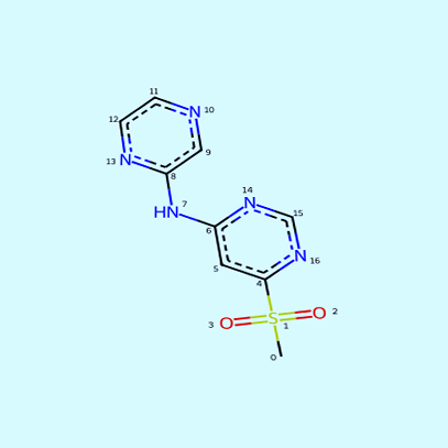 CS(=O)(=O)c1cc(Nc2cnccn2)ncn1